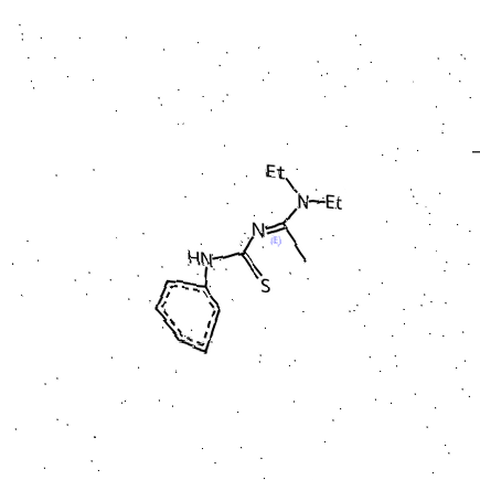 CCN(CC)/C(C)=N/C(=S)Nc1ccccc1